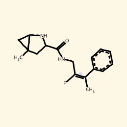 C/C(=C(\F)CNC(=O)C1CC2(C)CC2N1)c1ccccc1